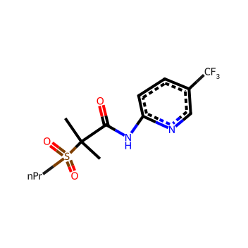 CCCS(=O)(=O)C(C)(C)C(=O)Nc1ccc(C(F)(F)F)cn1